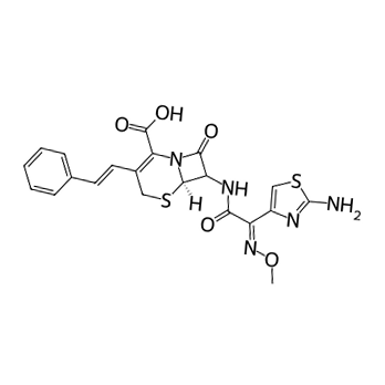 CO/N=C(/C(=O)NC1C(=O)N2C(C(=O)O)=C(/C=C/c3ccccc3)CS[C@H]12)c1csc(N)n1